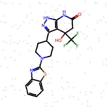 O=C1CC(O)(C(F)(F)F)c2c(C3CCN(c4nc5ccccc5s4)CC3)n[nH]c2N1